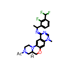 CC(=O)N1CCN2c3cc4/c(=N/C(C)c5cccc(C(F)F)c5F)ncn(C)c4cc3OC[C@H]2C1